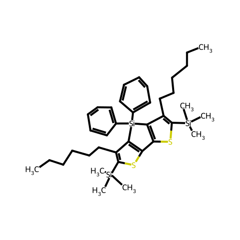 CCCCCCc1c([Si](C)(C)C)sc2c1[Si](c1ccccc1)(c1ccccc1)c1c-2sc([Si](C)(C)C)c1CCCCCC